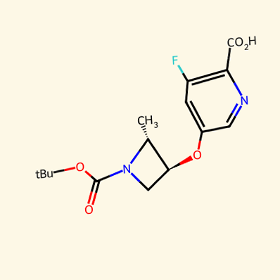 C[C@@H]1[C@@H](Oc2cnc(C(=O)O)c(F)c2)CN1C(=O)OC(C)(C)C